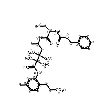 CC(=O)OC(CC(C)NC(=O)[C@H](CC(C)C)NC(=O)OCc1ccccc1)(OC(C)=O)C(OC(C)=O)(OC(C)=O)C(=O)Nc1cc(C)ccc1CCC(=O)O